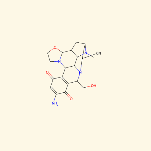 CN1C2CC3C1C1C(C4=C(C(=O)C(N)=CC4=O)C(CO)N1C2C#N)N1CCOC31